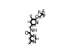 Cc1cc(C(=O)NCc2cnc(OCC(F)(F)F)c(C)c2)ncn1